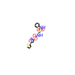 O=C(NCCS(=O)(=O)Nc1ccccc1)Oc1cc(-c2cccs2)on1